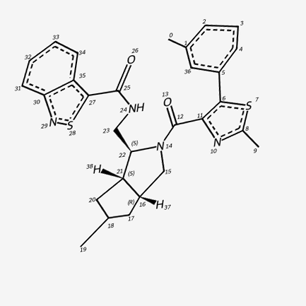 Cc1cccc(-c2sc(C)nc2C(=O)N2C[C@@H]3CC(C)C[C@@H]3[C@H]2CNC(=O)c2snc3ccccc23)c1